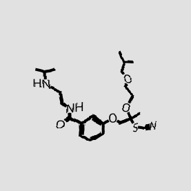 CC(C)COCCOC(C)(COc1cccc(C(=O)NCCNC(C)C)c1)SC#N